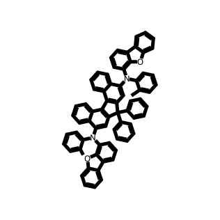 Cc1ccccc1N(c1cc2c(c3ccccc13)-c1c(cc(N(c3ccccc3C)c3cccc4c3oc3ccccc34)c3ccccc13)C2(c1ccccc1)c1ccccc1)c1cccc2c1oc1ccccc12